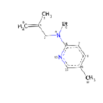 C=C(C)CN(CC)c1ccc(C)cn1